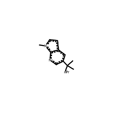 CCCC(C)(C)c1cnc2c(ccn2C)c1